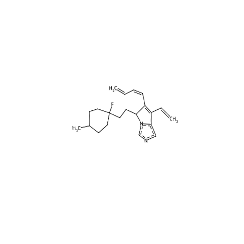 C=C/C=C\C1=C(C=C)c2cncn2C1CCC1(F)CCC(C)CC1